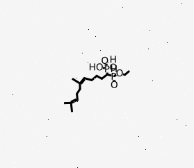 CCO[PH](=O)C(CCCC=C(C)CCC=C(C)C)P(=O)(O)O